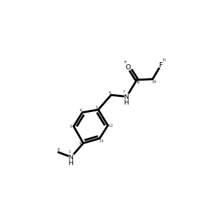 CNc1ccc(CNC(=O)CF)cc1